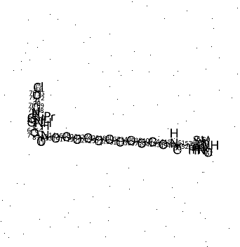 CC(C)C(NC(=O)c1cccc(C(=O)NCCOCCOCCOCCOCCOCCOCCOCCOCCOCCOCCOCCNC(=O)CCCC[C@@H]2SC[C@@H]3NC(=O)N[C@@H]32)c1)C(=O)N1CCC(c2ccc(Cl)cc2)CC1